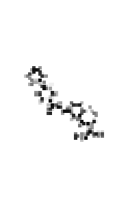 N=C(N)N1CCCc2ccc(COC(=O)C3CCN(c4ccncc4)CC3)cc2C1